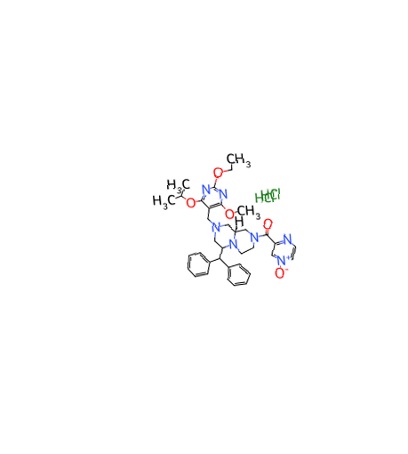 CCOc1nc(OC)c(CN2CC(C(c3ccccc3)c3ccccc3)N3CCN(C(=O)c4c[n+]([O-])ccn4)C[C@H]3C2)c(OC(C)C)n1.Cl.Cl